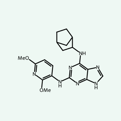 COc1ccc(Nc2nc(NC3CC4CCC3C4)c3nc[nH]c3n2)c(OC)n1